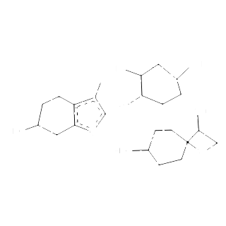 CC1CCC(C(C)C)C(O)C1.CC1CCC2(CC1)OCC2C.Cc1coc2c1CCC(C)C2